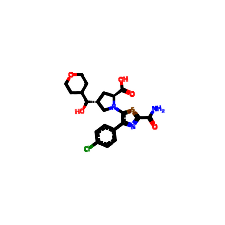 NC(=O)c1nc(-c2ccc(Cl)cc2)c(N2C[C@H](C(O)C3CCOCC3)C[C@H]2C(=O)O)s1